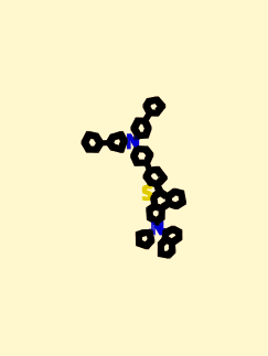 c1ccc(-c2ccc(N(c3ccc(-c4ccccc4)cc3)c3ccc(-c4ccc5c(c4)sc4c6ccc(N(c7ccccc7)c7cccc8ccccc78)cc6c6ccccc6c54)cc3)cc2)cc1